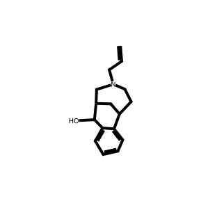 C=CCN1CCC2CC(C1)C(O)c1ccccc12